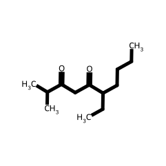 CCCCC(CC)C(=O)CC(=O)C(C)C